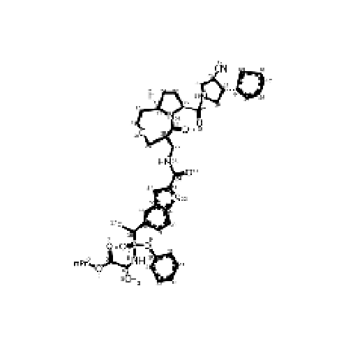 CCCOC(=O)[C@H](C)NP(=O)(Oc1ccccc1)C(F)c1ccc2sc(C(=O)NCC3CCCC[C@H]4CC[C@@H](C(=O)N5C[C@@H](C#N)[C@H](c6ccccc6)C5)N4C3=O)cc2c1